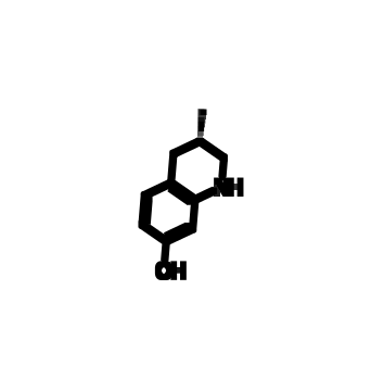 C[C@@H]1CNc2cc(O)ccc2C1